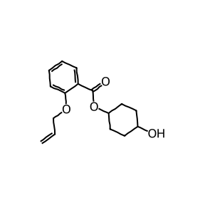 C=CCOc1ccccc1C(=O)OC1CCC(O)CC1